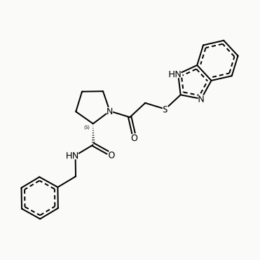 O=C(NCc1ccccc1)[C@@H]1CCCN1C(=O)CSc1nc2ccccc2[nH]1